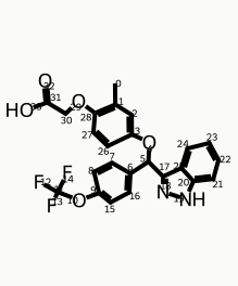 Cc1cc(OC(c2ccc(OC(F)(F)F)cc2)c2n[nH]c3ccccc23)ccc1OCC(=O)O